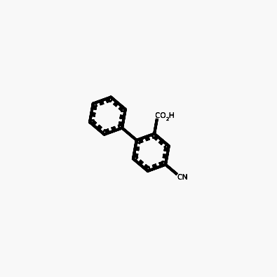 N#Cc1ccc(-c2ccccc2)c(C(=O)O)c1